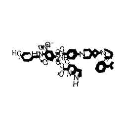 COC(=O)c1nc2[nH]ccc2cc1Oc1cc(N2CCC3(CC2)CC(N2CCC[C@@H]2c2ccccc2C(C)C)C3)ccc1C(=O)NS(=O)(=O)c1cc2c(c([N+](=O)[O-])c1)N[C@@H]([C@H]1CC[C@](C)(O)CC1)CO2